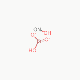 O=NO.[O-][Br+2]([O-])O